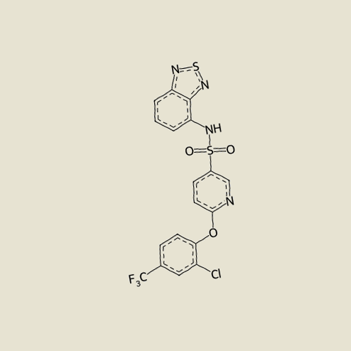 O=S(=O)(Nc1cccc2nsnc12)c1ccc(Oc2ccc(C(F)(F)F)cc2Cl)nc1